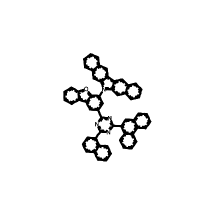 c1ccc2cc3c(cc2c1)c1cc2ccccc2cc1n3-c1cc(-c2nc(-c3cccc4ccccc34)nc(-c3cc4ccccc4c4ccccc34)n2)cc2c1oc1ccccc12